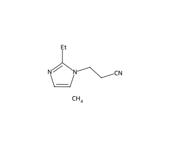 C.CCc1nccn1CCC#N